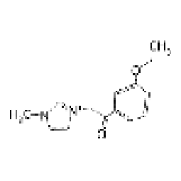 CCOc1cccc(C(=O)C[n+]2ccn(C)c2)c1